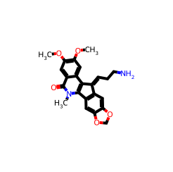 COc1cc2c3c(n(C)c(=O)c2cc1OC)-c1cc2c(cc1C3=CCCN)OCO2